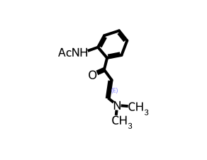 CC(=O)Nc1ccccc1C(=O)/C=C/N(C)C